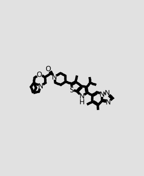 Cc1c(-c2[nH]c3sc(C4CCN(C(=O)C5CN6CC7CC6(CO5)C7)CC4)c(C)c3c2C(C)C)cn2ncnc2c1C